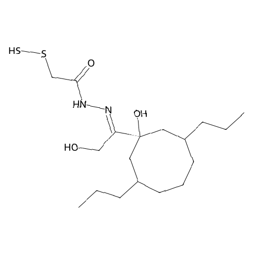 CCCC1CCCC(CCC)CC(O)(/C(CO)=N/NC(=O)CSS)C1